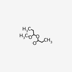 CCC([O])OC(CC)OC